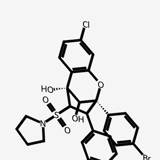 O=S(=O)(C1C(c2ccccc2)[C@]2(c3ccc(Br)cc3)Oc3cc(Cl)ccc3[C@@]1(O)C2O)N1CCCC1